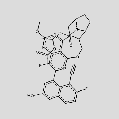 C#Cc1c(F)ccc2cc(O)cc(-c3nc4c5c(nc(OC)nc5c3F)N3CC5CCC(C3CO4)N5C(=O)OC(C)OC(C)=O)c12